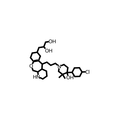 CC1(C)CN(CCCC2C3=C(CCC(CC(O)CO)C3)OCC3NCCCC32)CCC1(O)C1CCC(Cl)CC1